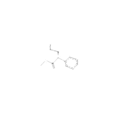 [CH2]CC[C@H](C(=O)NO)c1ccccc1